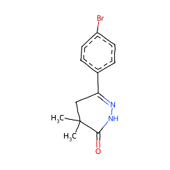 CC1(C)CC(c2ccc(Br)cc2)=NNC1=O